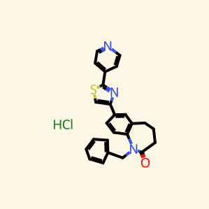 Cl.O=C1CCCc2cc(-c3csc(-c4ccncc4)n3)ccc2N1Cc1ccccc1